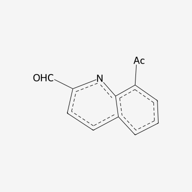 CC(=O)c1cccc2ccc(C=O)nc12